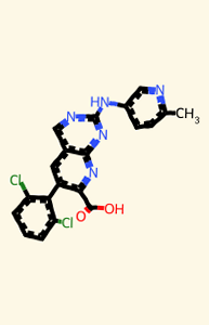 Cc1ccc(Nc2ncc3cc(-c4c(Cl)cccc4Cl)c(C(=O)O)nc3n2)cn1